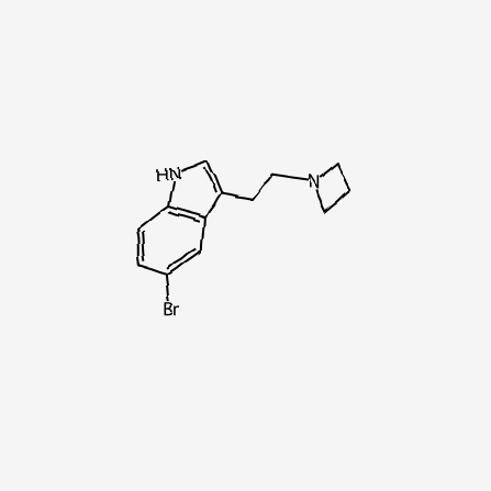 Brc1ccc2[nH]cc(CCN3CCC3)c2c1